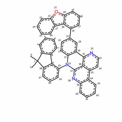 CC1(C)c2ccccc2-c2c(N3c4ccc(-c5cccc6oc7ccccc7c56)cc4-c4nccc5c4c3nc3ccccc35)cccc21